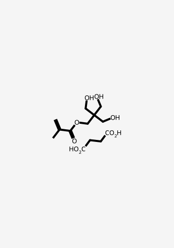 C=C(C)C(=O)OCC(CO)(CO)CO.O=C(O)CCC(=O)O